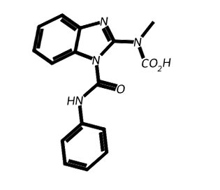 CN(C(=O)O)c1nc2ccccc2n1C(=O)Nc1ccccc1